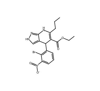 CCCC1=C(C(=O)OCC)C(c2cccc([N+](=O)[O-])c2Br)c2c[nH]nc2N1